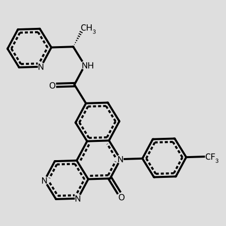 C[C@H](NC(=O)c1ccc2c(c1)c1cncnc1c(=O)n2-c1ccc(C(F)(F)F)cc1)c1ccccn1